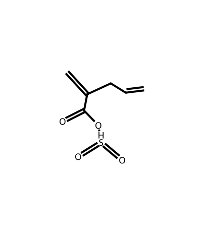 C=CCC(=C)C(=O)O[SH](=O)=O